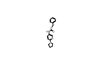 O=C(Nc1ccc(N2CCCC2)nc1)OCc1ccccc1